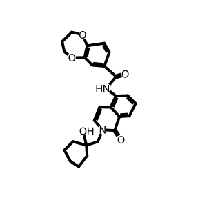 O=C(Nc1cccc2c(=O)n(CC3(O)CCCCC3)ccc12)c1ccc2c(c1)OCCCO2